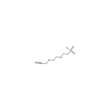 C#CCOCCOCCS(=O)(=O)F